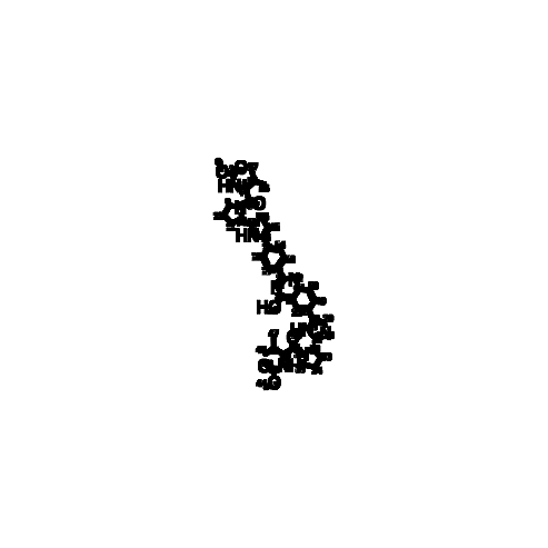 COC(=O)N[C@H](C(=O)N1CCC[C@H]1c1ncc(-c2ccc(-c3nc(O)c4cc(-c5cnc([C@@H]6CCCN6C(=O)[C@@H](NC(=O)OC)C(C)C)[nH]5)ccc4n3)cc2)[nH]1)C(C)C